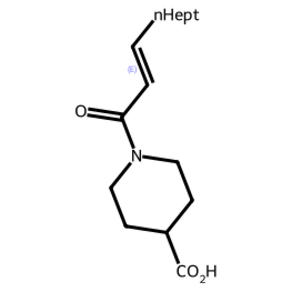 CCCCCCC/C=C/C(=O)N1CCC(C(=O)O)CC1